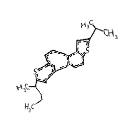 CCC(C)c1cc2c(ccc3c4cc(C(C)C)sc4ccc23)s1